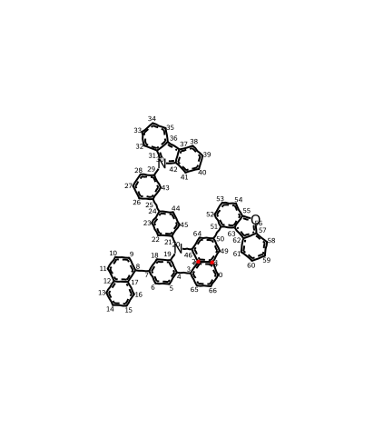 c1ccc(-c2ccc(-c3cccc4ccccc34)cc2N(c2ccc(-c3cccc(-n4c5ccccc5c5ccccc54)c3)cc2)c2cccc(-c3cccc4oc5ccccc5c34)c2)cc1